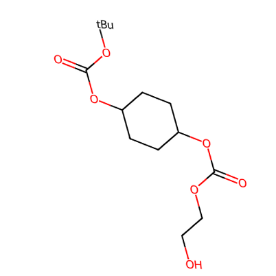 CC(C)(C)OC(=O)OC1CCC(OC(=O)OCCO)CC1